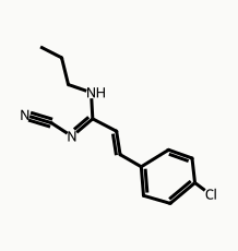 CCCNC(C=Cc1ccc(Cl)cc1)=NC#N